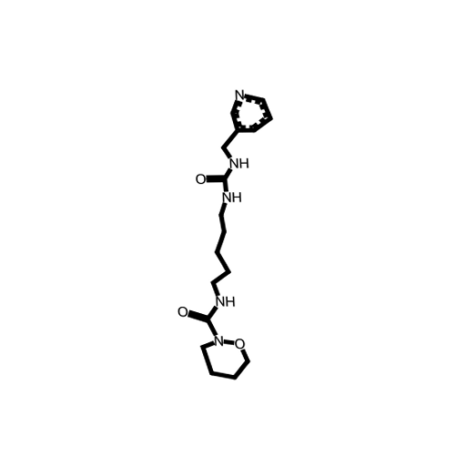 O=C(NCCCCCNC(=O)N1CCCCO1)NCc1cccnc1